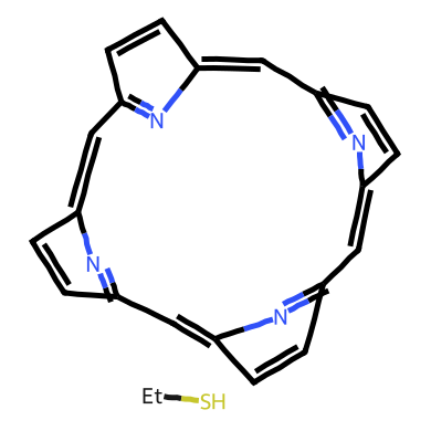 C1=CC2=NC1=CC1=NC(=CC3=NC(=CC4=NC(=C2)C=C4)C=C3)C=C1.CCS